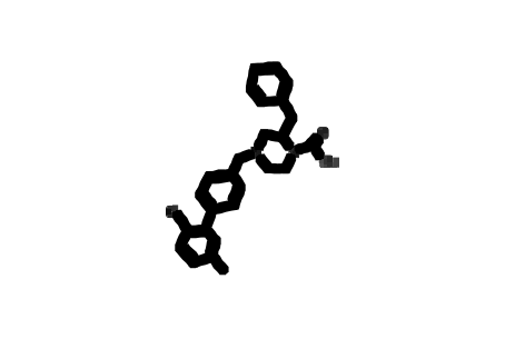 Cc1ccc(Cl)c(-c2ccc(CN3CCN(C(=O)C(C)(C)C)C(Cc4ccccc4)C3)cc2)c1